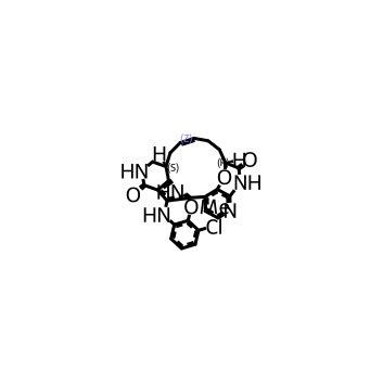 COc1c(Cl)cccc1Nc1c2[nH]c3c1C(=O)NC[C@@H]3C/C=C\CC[C@H]1Oc3c-2ccnc3NC1=O